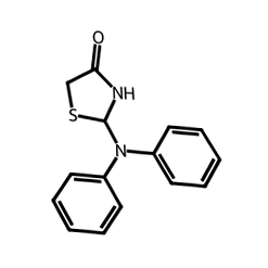 O=C1CSC(N(c2ccccc2)c2ccccc2)N1